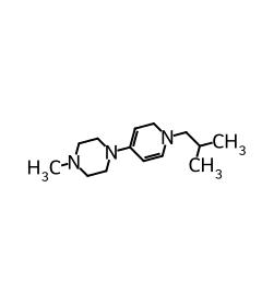 CC(C)CN1C=CC(N2CCN(C)CC2)=CC1